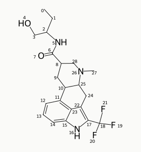 CCC(CO)NC(=O)C1CC2c3cccc4[nH]c(C(F)(F)F)c(c34)CC2N(C)C1